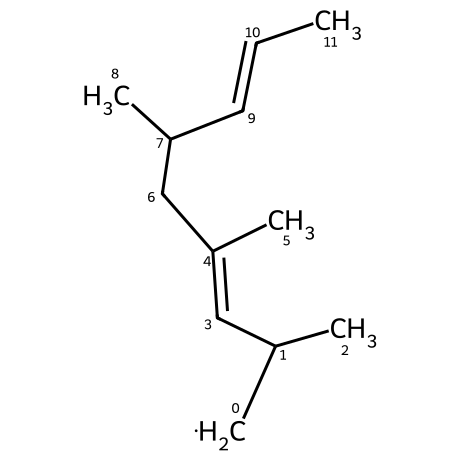 [CH2]C(C)/C=C(\C)CC(C)/C=C/C